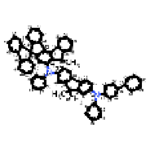 CC1(C)c2cc(N(c3ccccc3)c3ccc(-c4ccccc4)cc3)ccc2-c2ccc(N(c3ccccc3)c3cc4c(c5c3C(C)(C)c3ccccc3-5)-c3ccccc3C43c4ccccc4-c4ccccc43)cc21